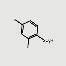 Cc1cc([S])ccc1S(=O)(=O)O